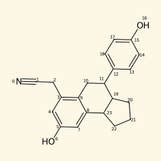 N#CCc1cc(O)cc2c1CC(c1ccc(O)cc1)C1CCCC21